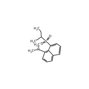 CCC(C)S(=O)(=O)c1cccc2cccc(N(C)C)c12